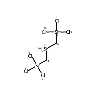 Cl[Si](Cl)(Cl)C[SiH2]C[Si](Cl)(Cl)Cl